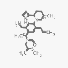 C=CCC1=CC([C@H](C)N(C=O)CC(=C)SC)C(CN)C(F)C1N1C[C@@H](C)CCC1C1C=CN1